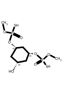 COP(=O)(S)O[C@@H]1C[C@H](O)C[C@H](OP(=O)(S)OC)C1